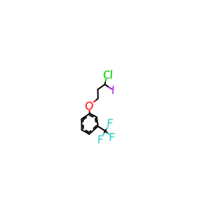 FC(F)(F)c1cccc(OCCC(Cl)I)c1